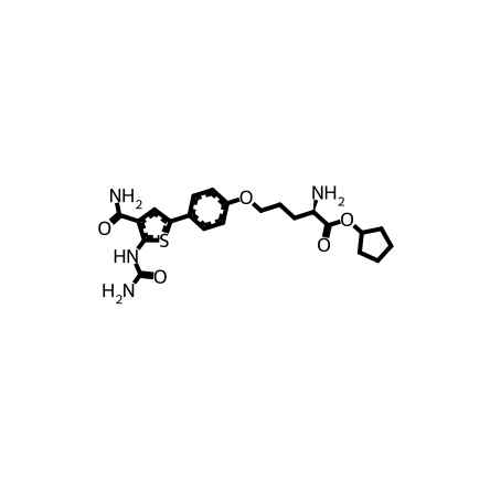 NC(=O)Nc1sc(-c2ccc(OCCC[C@@H](N)C(=O)OC3CCCC3)cc2)cc1C(N)=O